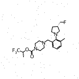 Cc1cccc(CN2CCN(C(=O)OC(C)C(F)(F)F)CC2)c1N1CC[C@H](CF)C1